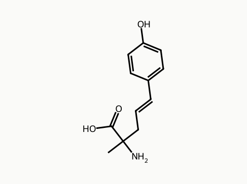 CC(N)(C/C=C/c1ccc(O)cc1)C(=O)O